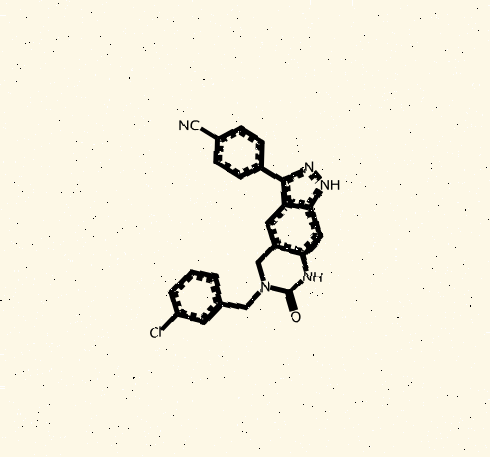 N#Cc1ccc(-c2n[nH]c3cc4c(cc23)CN(Cc2cccc(Cl)c2)C(=O)N4)cc1